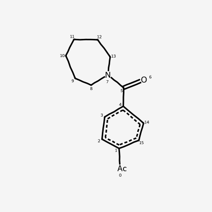 CC(=O)c1ccc(C(=O)N2CCCCCC2)cc1